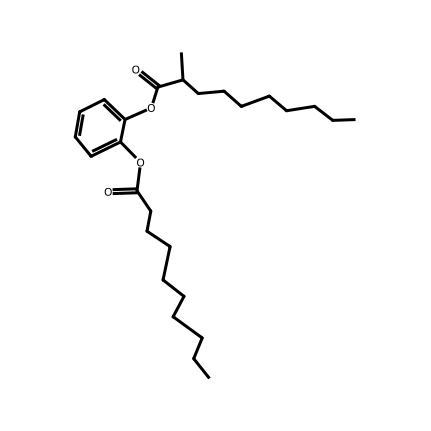 CCCCCCCCCC(=O)Oc1ccccc1OC(=O)C(C)CCCCCCCC